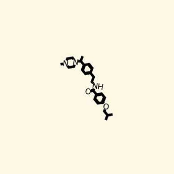 CC(C)COc1ccc(C(=O)NCCc2ccc(C(C)N3CCN(C)CC3)cc2)cc1